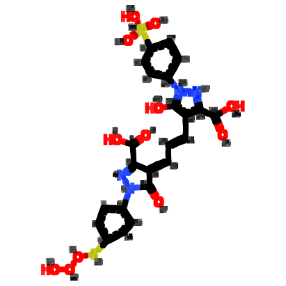 O=C(O)C1=NN(c2ccc(SOOO)cc2)C(=O)/C1=C/C=C/c1c(C(=O)O)nn(-c2ccc(S(=O)(=O)O)cc2)c1O